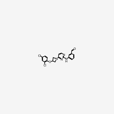 O=Cc1cccc(Nc2nccc(N3CC(Oc4ccc(Cl)cc4Cl)C3)n2)c1